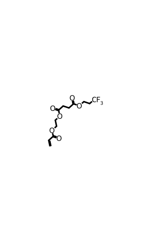 C=CC(=O)OCCOC(=O)CCC(=O)OCCC(F)(F)F